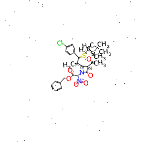 C[C@@H](O[Si](C)(C)C(C)(C)C)[C@H]1C(=O)N(C(C(=O)OCc2ccccc2)[N+](=O)[O-])[C@@H]1[C@@H](C)C(=S)c1ccc(Cl)cc1